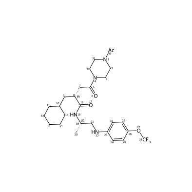 CC(=O)N1CCN(C(=O)C[C@@H](CC2CCCCC2)C(=O)N[C@@H](C)CNc2ccc(OC(F)(F)F)cc2)CC1